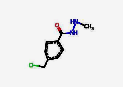 CNNC(=O)c1ccc(CCl)cc1